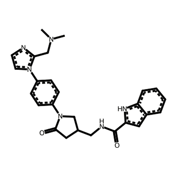 CN(C)Cc1nccn1-c1ccc(N2CC(CNC(=O)c3cc4ccccc4[nH]3)CC2=O)cc1